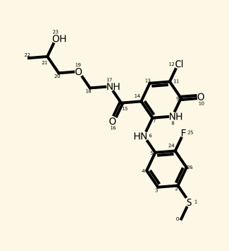 CSc1ccc(Nc2[nH]c(=O)c(Cl)cc2C(=O)NCOCC(C)O)c(F)c1